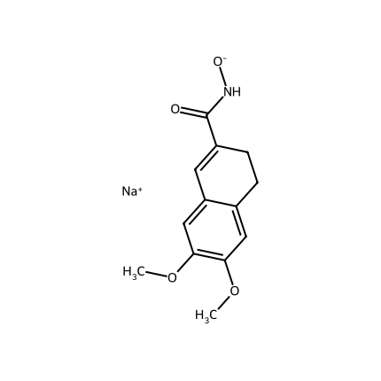 COc1cc2c(cc1OC)CCC(C(=O)N[O-])=C2.[Na+]